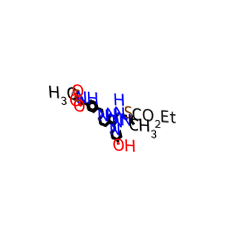 CCOC(=O)c1sc(Nc2nc(N3CCC(O)CC3)c3c(n2)N(Cc2ccc(C(=O)NS(C)(=O)=O)cc2)CCC3)nc1C